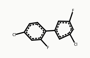 Fc1[c]c(Cl)cc(-c2ccc(Cl)cc2F)c1